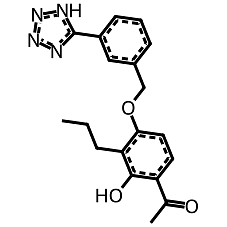 CCCc1c(OCc2cccc(-c3nnn[nH]3)c2)ccc(C(C)=O)c1O